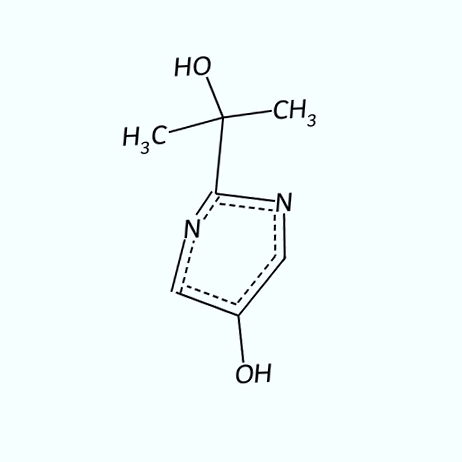 CC(C)(O)c1ncc(O)cn1